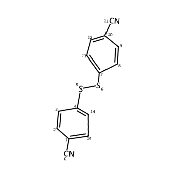 N#Cc1ccc(SSc2ccc(C#N)cc2)cc1